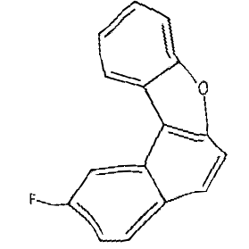 Fc1ccc2ccc3oc4ccccc4c3c2c1